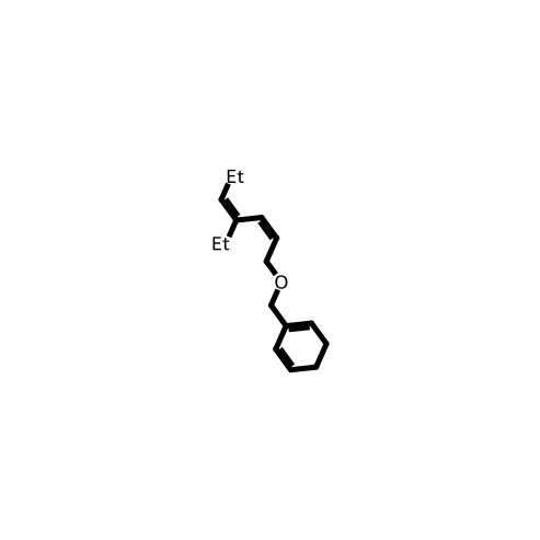 CC/C=C(\C=C/COCC1=CCCC=C1)CC